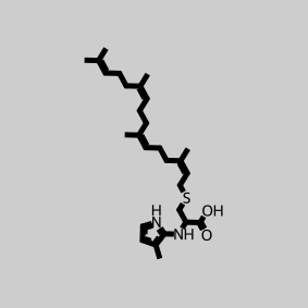 CC(C)=CCCC(C)=CCCC(C)=CCCC(C)=CCSCC(Nc1[nH]ccc1C)C(=O)O